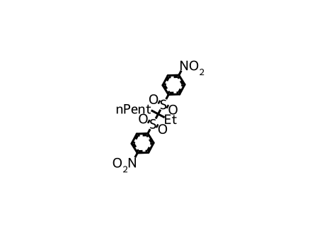 CCCCCC(CC)(S(=O)(=O)c1ccc([N+](=O)[O-])cc1)S(=O)(=O)c1ccc([N+](=O)[O-])cc1